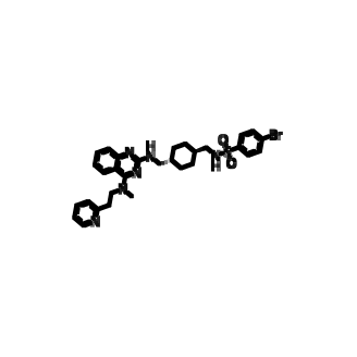 CN(CCc1ccccn1)c1nc(NC[C@H]2CC[C@H](CNS(=O)(=O)c3ccc(Br)cc3)CC2)nc2ccccc12